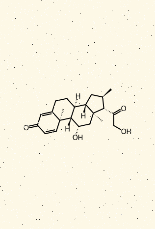 C[C@@H]1C[C@H]2[C@@H]3CCC4=CC(=O)C=C[C@]4(C)[C@H]3[C@@H](O)C[C@]2(C)[C@H]1C(=O)CO